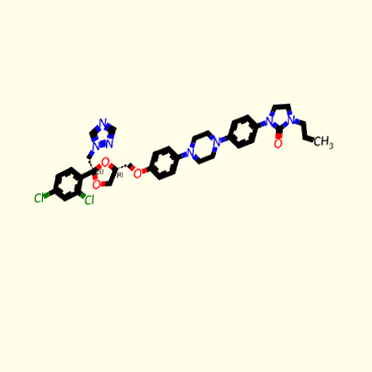 CCCN1CCN(c2ccc(N3CCN(c4ccc(OC[C@@H]5CO[C@@](Cn6cncn6)(c6ccc(Cl)cc6Cl)O5)cc4)CC3)cc2)C1=O